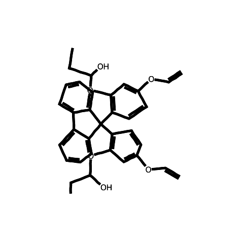 C=COc1ccc(C2(c3ccc(OC=C)cc3OC(O)CC)c3ccccc3-c3ccccc32)c(OC(O)CC)c1